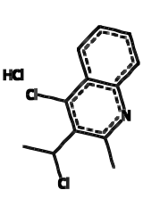 Cc1nc2ccccc2c(Cl)c1C(C)Cl.Cl